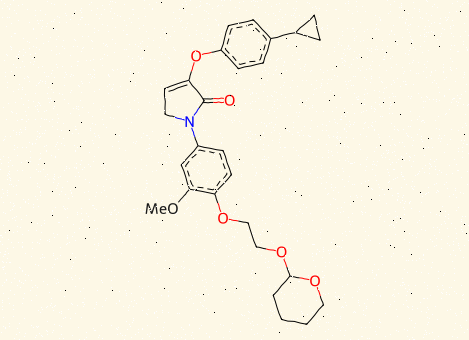 COc1cc(N2CC=C(Oc3ccc(C4CC4)cc3)C2=O)ccc1OCCOC1CCCCO1